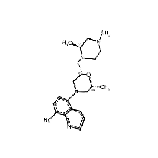 C[C@@H]1CN(c2ccc(C#N)c3ncccc23)C[C@H](CN2CCN(C)C[C@@H]2C)O1